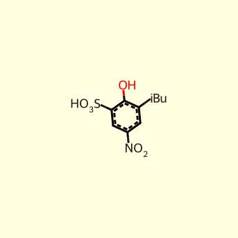 CCC(C)c1cc([N+](=O)[O-])cc(S(=O)(=O)O)c1O